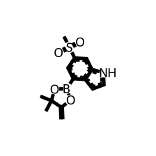 C=C1OB(c2cc(S(C)(=O)=O)cc3[nH]ccc23)OC1(C)C